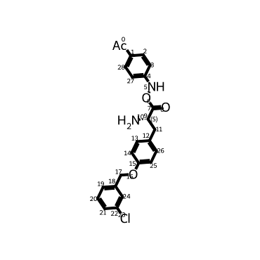 CC(=O)c1ccc(NOC(=O)[C@@H](N)Cc2ccc(OCc3cccc(Cl)c3)cc2)cc1